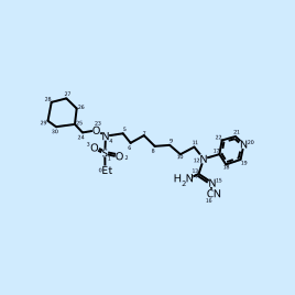 CCS(=O)(=O)N(CCCCCCCN(C(N)=NC#N)c1ccncc1)OCC1CCCCC1